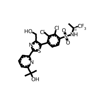 C[C@H](NS(=O)(=O)c1ccc(-c2sc(-c3cccc(C(C)(C)O)n3)nc2CO)c(Cl)c1Cl)C(F)(F)F